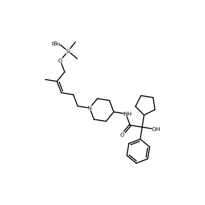 C/C(=C/CCN1CCC(NC(=O)C(O)(c2ccccc2)C2CCCC2)CC1)CO[Si](C)(C)C(C)(C)C